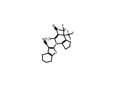 N#CC1=C(N)N(c2sc3c(c2C#N)CCCC3)C2=C(CCC2)C1(C(F)(F)F)C(F)(F)F